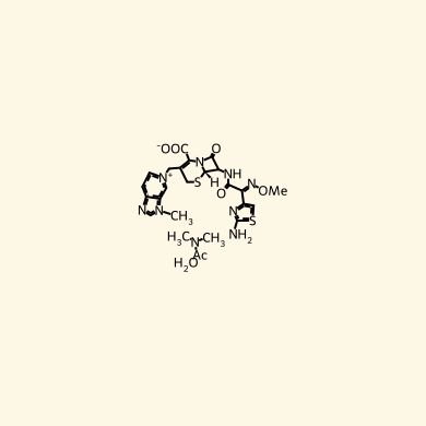 CC(=O)N(C)C.CON=C(C(=O)NC1C(=O)N2C(C(=O)[O-])=C(C[n+]3ccc4ncn(C)c4c3)CS[C@@H]12)c1csc(N)n1.O